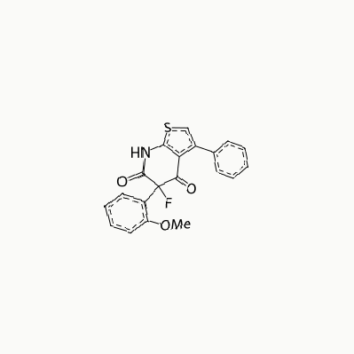 COc1ccccc1C1(F)C(=O)Nc2scc(-c3ccccc3)c2C1=O